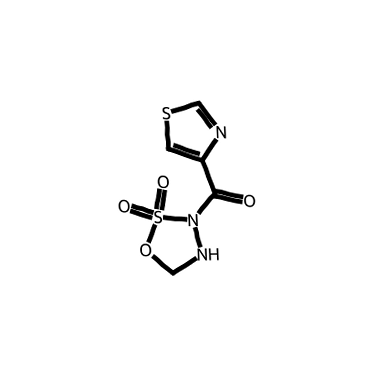 O=C(c1cscn1)N1NCOS1(=O)=O